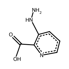 NNc1cccnc1C(=O)O